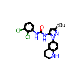 CC(C)(C)c1cc(NC(=O)Nc2cccc(Cl)c2Cl)n(-c2ccc3c(c2)CCCN3)n1